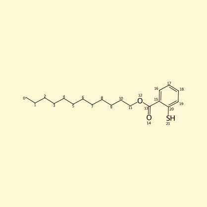 CCCCCCCCCCCCOC(=O)c1ccccc1S